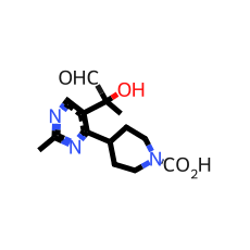 Cc1ncc(C(C)(O)C=O)c(C2CCN(C(=O)O)CC2)n1